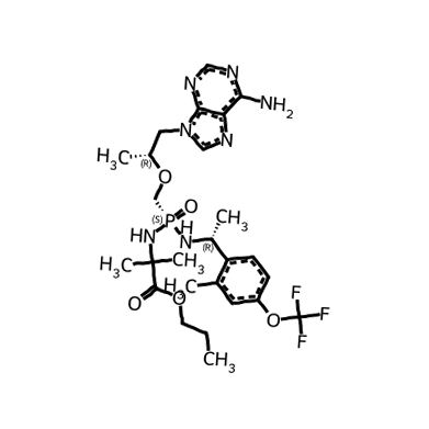 CCCOC(=O)C(C)(C)N[P@](=O)(CO[C@H](C)Cn1cnc2c(N)ncnc21)N[C@H](C)c1ccc(OC(F)(F)F)cc1C